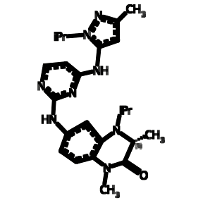 Cc1cc(Nc2ccnc(Nc3ccc4c(c3)N(C(C)C)[C@H](C)C(=O)N4C)n2)n(C(C)C)n1